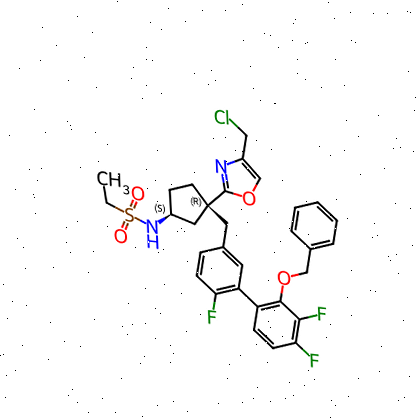 CCS(=O)(=O)N[C@H]1CC[C@](Cc2ccc(F)c(-c3ccc(F)c(F)c3OCc3ccccc3)c2)(c2nc(CCl)co2)C1